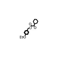 CCOc1ccc(COC(=O)C(=O)C2CCCCC2)cc1